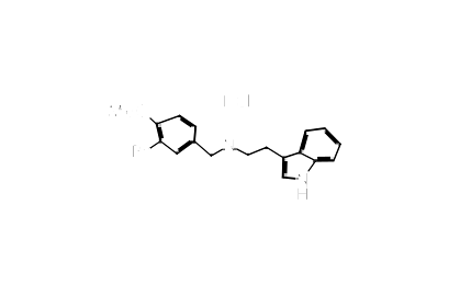 COc1ccc(CNCCc2c[nH]c3ccccc23)cc1Br.Cl